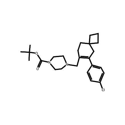 CC(C)(C)OC(=O)N1CCN(CC2=C(c3ccc(Cl)cc3)CC3(CCC3)CC2)CC1